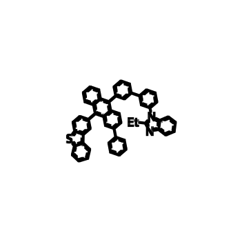 CCc1nc2ccccc2n1-c1cccc(-c2cccc(-c3c4ccccc4c(-c4ccc5sc6ccccc6c5c4)c4cc(-c5ccccc5)ccc34)c2)c1